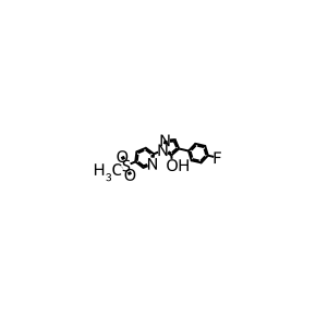 CS(=O)(=O)c1ccc(-n2ncc(-c3ccc(F)cc3)c2O)nc1